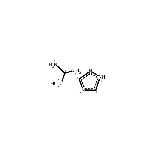 CC(N)C(=O)O.c1nc[nH]n1